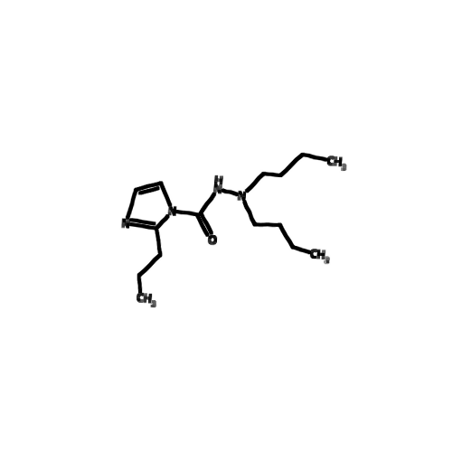 CCCCN(CCCC)NC(=O)n1ccnc1CCC